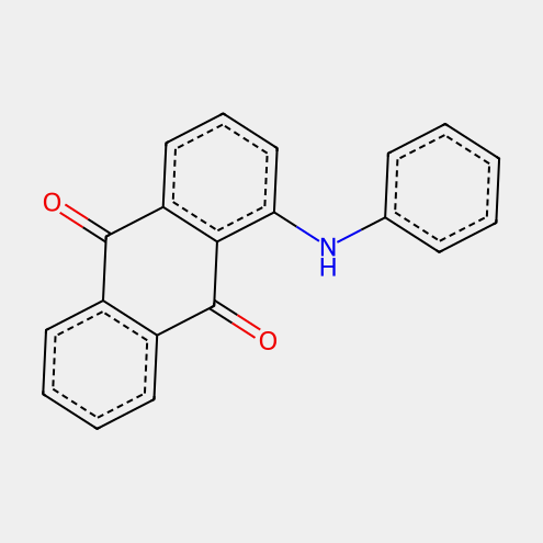 O=C1c2ccccc2C(=O)c2c(Nc3ccccc3)cccc21